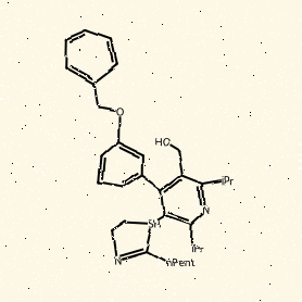 CCCCCC1=NCC[SH]1c1c(C(C)C)nc(C(C)C)c(CO)c1-c1cccc(OCc2ccccc2)c1